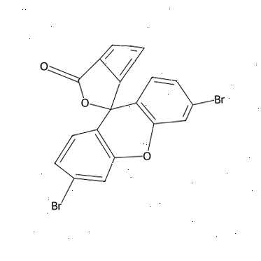 O=C1OC2(c3ccc(Br)cc3Oc3cc(Br)ccc32)c2ccccc21